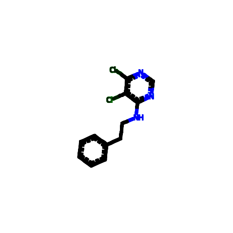 Clc1ncnc(NCCc2ccccc2)c1Cl